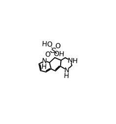 C1=CNC2CC3CNCNC3=CC2=C1.O=S(=O)(O)O